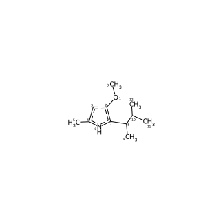 COc1cc(C)[nH]c1C(C)C(C)C